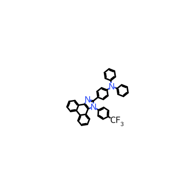 FC(F)(F)c1ccc(-n2c(-c3ccc(N(c4ccccc4)c4ccccc4)cc3)nc3c4ccccc4c4ccccc4c32)cc1